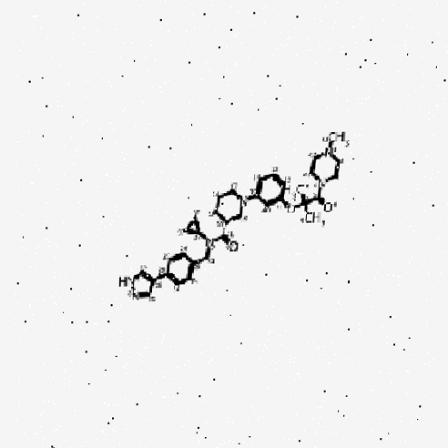 CN1CCN(C(=O)C(C)(C)Oc2cccc(N3CCC[C@@H](C(=O)N(Cc4ccc(-c5cn[nH]c5)cc4)C4CC4)C3)c2)CC1